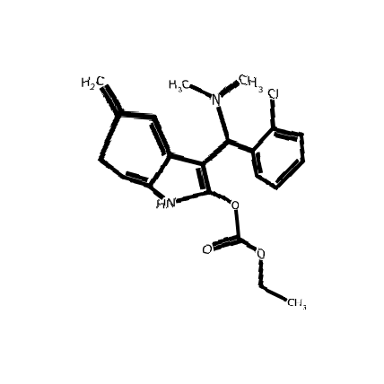 C=C1C=c2c(C(c3ccccc3Cl)N(C)C)c(OC(=O)OCC)[nH]c2=CC1